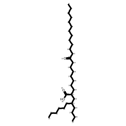 CCCCCCCCCCCCC(=O)CCCCCCCC(CC(CCCC)CCCCCC)C(=O)O